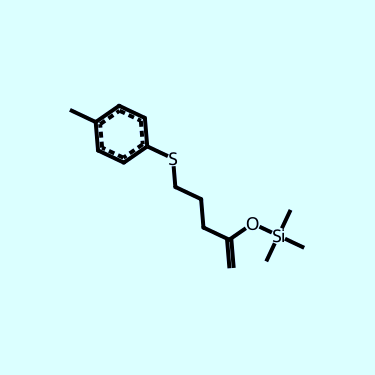 C=C(CCCSc1ccc(C)cc1)O[Si](C)(C)C